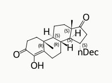 CCCCCCCCCC[C@H]1CC(=O)[C@@]2(C)CC[C@H]3[C@@H](CCC4=C(O)C(=O)CC[C@@]43C)[C@H]12